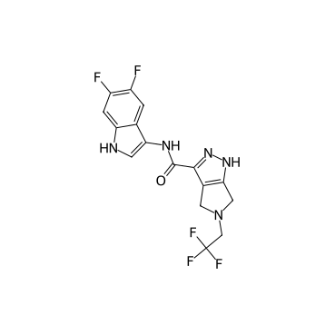 O=C(Nc1c[nH]c2cc(F)c(F)cc12)c1n[nH]c2c1CN(CC(F)(F)F)C2